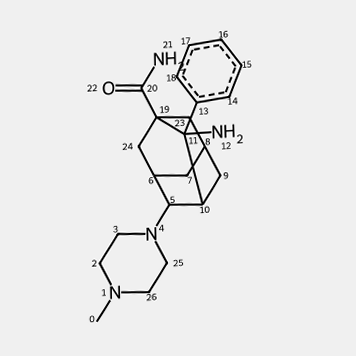 CN1CCN(C2C3CC4CC2C(N)(c2ccccc2)C(C(N)=O)(C4)C3)CC1